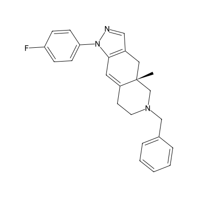 C[C@]12Cc3cnn(-c4ccc(F)cc4)c3C=C1CCN(Cc1ccccc1)C2